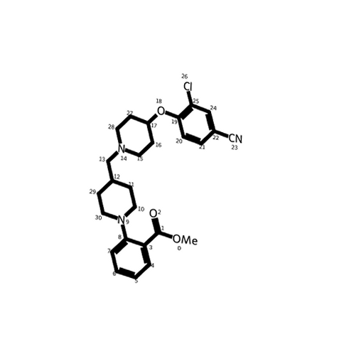 COC(=O)c1ccccc1N1CCC(CN2CCC(Oc3ccc(C#N)cc3Cl)CC2)CC1